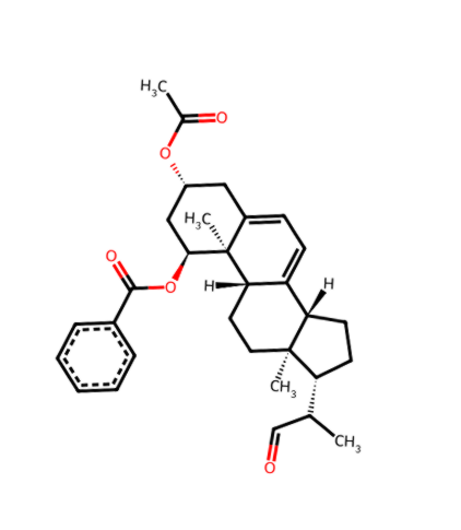 CC(=O)O[C@@H]1CC2=CC=C3[C@@H]4CC[C@H](C(C)C=O)[C@@]4(C)CC[C@@H]3[C@@]2(C)[C@@H](OC(=O)c2ccccc2)C1